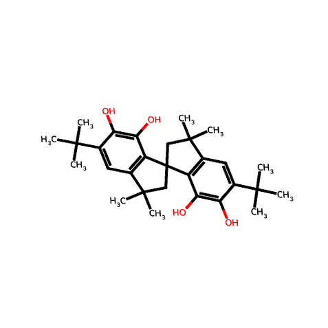 CC(C)(C)c1cc2c(c(O)c1O)C1(CC2(C)C)CC(C)(C)c2cc(C(C)(C)C)c(O)c(O)c21